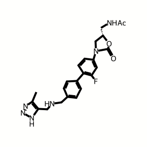 CC(=O)NC[C@H]1CN(c2ccc(-c3ccc(CNCc4[nH]nnc4C)cc3)c(F)c2)C(=O)O1